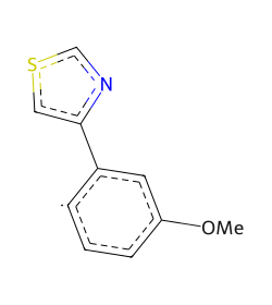 COc1cc[c]c(-c2cscn2)c1